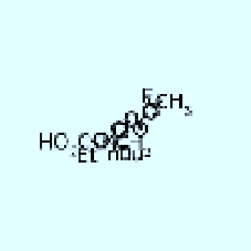 CCCCC(C)[C@@]1(c2ccc(OC(=O)c3ccc(C)c(F)c3)cc2)C=CC(C(=O)O)=C(CC)C1